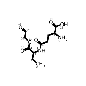 CCC(NC(=O)CCC(N)C(=O)O)C(=O)OCC=O